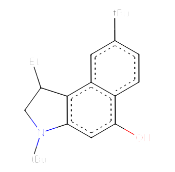 CCC1CN(C(C)(C)C)c2cc(O)c3ccc(C(C)(C)C)cc3c21